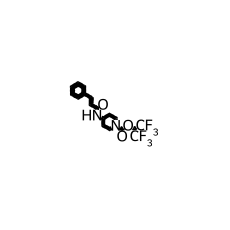 O=C(C=Cc1ccccc1)NC1CCN(C(=O)OC(C(F)(F)F)C(F)(F)F)CC1